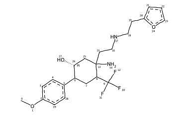 COc1ccc(C2CC(C(F)(F)F)C(N)(CCNCCc3ccco3)C[C@H]2O)cc1